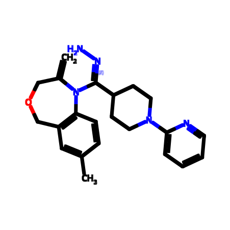 C=C1COCc2cc(C)ccc2N1/C(=N\N)C1CCN(c2ccccn2)CC1